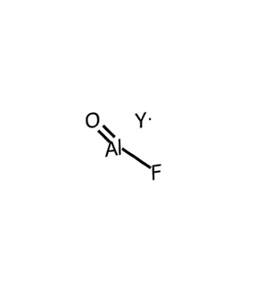 [O]=[Al][F].[Y]